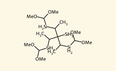 COC(OC)[SiH2]C(C)C([SiH3])(C(C)[SiH2]C(OC)OC)C(C)[SiH2]C(OC)OC